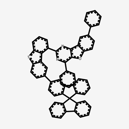 c1ccc(-c2ccc3oc4c(-c5ccccc5)nc(-c5cccc6sc7ccc(-c8ccc9c(c8)-c8ccccc8C98c9ccccc9-c9ccccc98)cc7c56)nc4c3c2)cc1